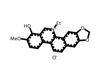 CC[n+]1cc2c(O)c(OC)ccc2c2ccc3cc4c(cc3c21)OCO4.[Cl-]